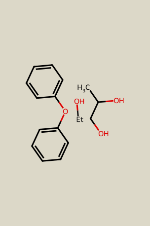 CC(O)CO.CCO.c1ccc(Oc2ccccc2)cc1